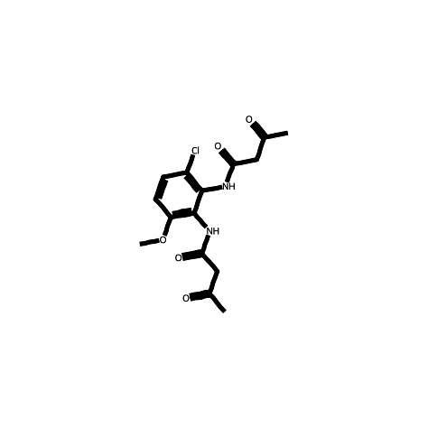 COc1ccc(Cl)c(NC(=O)CC(C)=O)c1NC(=O)CC(C)=O